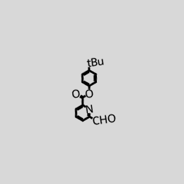 CC(C)(C)c1ccc(OC(=O)c2cccc(C=O)n2)cc1